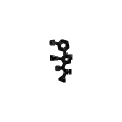 N#Cc1c(C(=O)NC2CC2)cnn1-c1cccc(Cl)c1